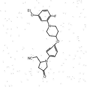 CCOc1ccc(F)c(N2CCC(Oc3ccc(N4CC(=O)CC4CC#N)cc3)CC2)c1